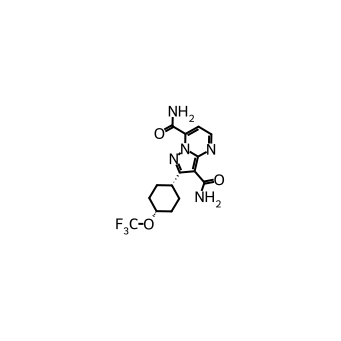 NC(=O)c1c2nccc(C(N)=O)n2nc1[C@H]1CC[C@@H](OC(F)(F)F)CC1